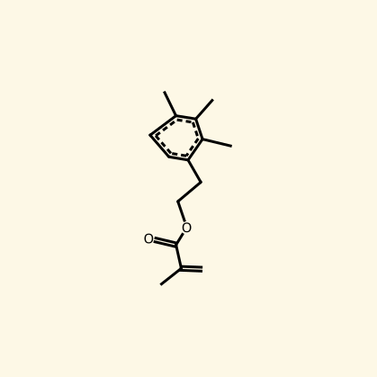 C=C(C)C(=O)OCCc1ccc(C)c(C)c1C